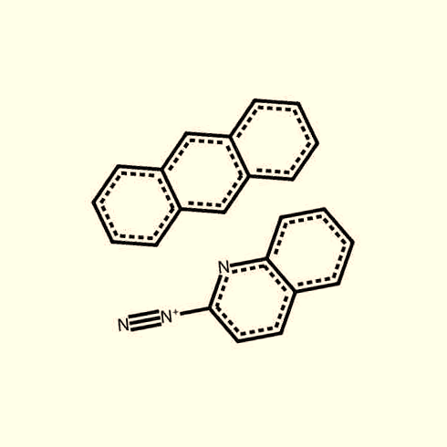 N#[N+]c1ccc2ccccc2n1.c1ccc2cc3ccccc3cc2c1